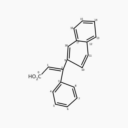 O=C(O)C=C(c1ccccc1)c1ccc2ccccc2c1